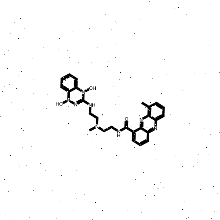 Cc1cccc2nc3cccc(C(=O)NCCN(C)CCNC4=NN(O)c5ccccc5N4O)c3nc12